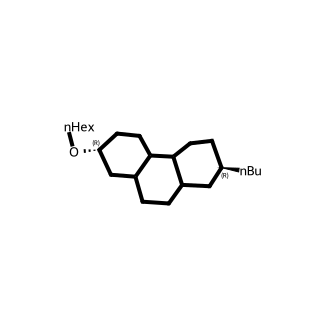 CCCCCCO[C@@H]1CCC2C(CCC3C[C@H](CCCC)CCC32)C1